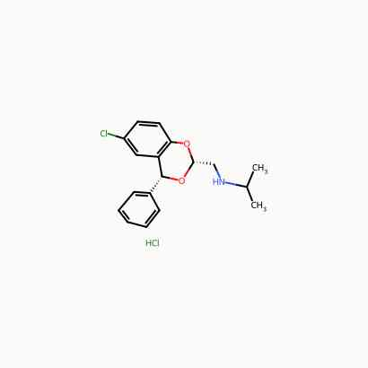 CC(C)NC[C@H]1Oc2ccc(Cl)cc2[C@@H](c2ccccc2)O1.Cl